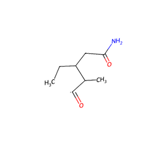 CCC(CC(N)=O)C(C)[C]=O